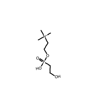 C[N+](C)(C)CCOP(=O)(O)CCO